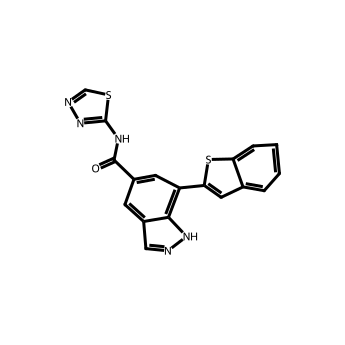 O=C(Nc1nncs1)c1cc(-c2cc3ccccc3s2)c2[nH]ncc2c1